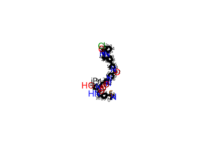 Cc1ncsc1-c1ccc([C@H](C)NC(=O)[C@@H]2C[C@@H](O)CN2C(=O)C(c2cc(N3CCC(C(=O)N4CCC(c5ccc6c(c5)C(C)(C)c5nc(=O)c7c(Cl)cccc7n5-6)CC4)CC3)no2)C(C)C)cc1